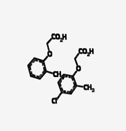 Cc1cc(Cl)ccc1OCC(=O)O.Cc1ccccc1OCC(=O)O